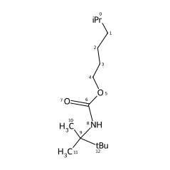 CC(C)CCCCOC(=O)NC(C)(C)C(C)(C)C